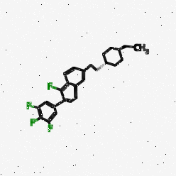 CC[C@H]1CC[C@H](CCc2ccc3c(F)c(-c4cc(F)c(F)c(F)c4)ccc3c2)CC1